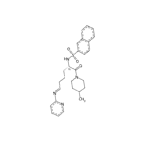 CC1CCN(C(=O)[C@H](CCCC=Nc2ccccn2)NS(=O)(=O)c2ccc3ccccc3c2)CC1